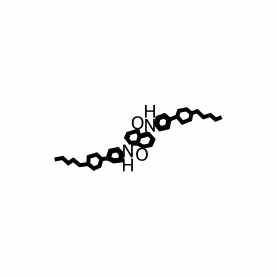 CCCCCC1CCC(c2ccc(NC3=C4C(=O)C=CC(Nc5ccc(C6CCC(CCCCC)CC6)cc5)=C4C(=O)C=C3)cc2)CC1